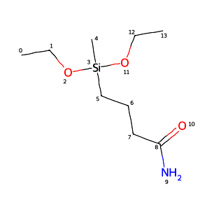 CCO[Si](C)(CCCC(N)=O)OCC